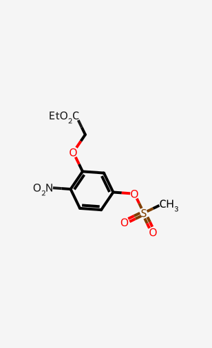 CCOC(=O)COc1cc(OS(C)(=O)=O)ccc1[N+](=O)[O-]